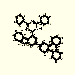 c1ccc(C2=NC(c3cc(-c4ccc5c6ccccc6c6ccccc6c5c4)cc4oc5ccccc5c34)NC(c3ccccc3)=N2)cc1